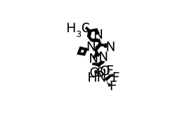 Cc1cnc2c(C#N)c(-c3ncc(S(=O)(=O)N[C@@H](CF)C(F)F)cn3)n(C3CCC3)c2c1